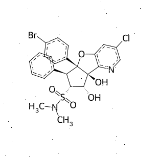 CN(C)S(=O)(=O)[C@H]1[C@@H](O)[C@@]2(O)c3ncc(Cl)cc3O[C@@]2(c2ccc(Br)cc2)[C@@H]1c1ccccc1